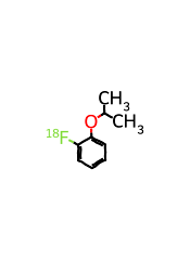 CC(C)Oc1ccccc1[18F]